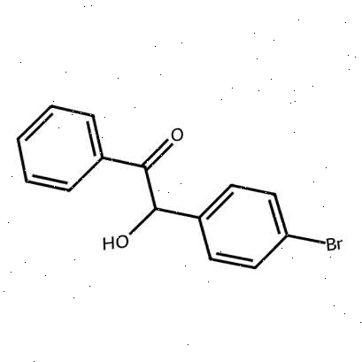 O=C(c1ccccc1)C(O)c1ccc(Br)cc1